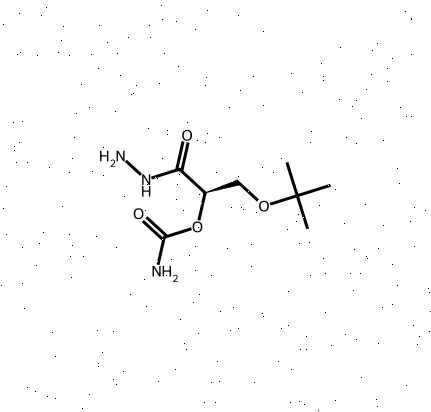 CC(C)(C)OC[C@@H](OC(N)=O)C(=O)NN